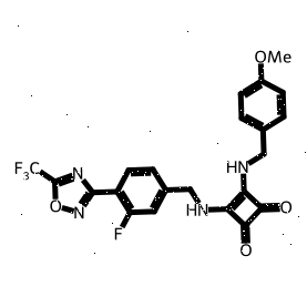 COc1ccc(CNc2c(NCc3ccc(-c4noc(C(F)(F)F)n4)c(F)c3)c(=O)c2=O)cc1